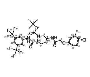 CC(C)(C)OC(=O)N1C[C@@H](NC(=O)COc2ccc(Cl)c(F)c2)CC[C@@H]1C(=O)Nc1cc(C(F)(F)F)cc(C(F)(F)F)c1